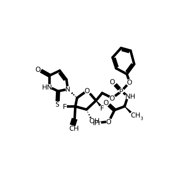 C#CC1(F)[C@@H](O)[C@@](F)(COP(=O)(N[C@@H](C)C(=O)OC(C)C)Oc2ccccc2)O[C@H]1n1ccc(=O)[nH]c1=S